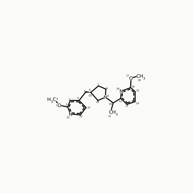 COc1cc(C[C@H]2CCN(C(C)c3cccc(OC)n3)C2)ccn1